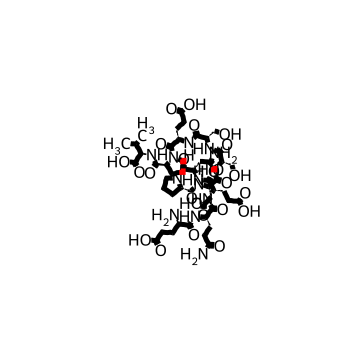 CC(C)[C@H](NC(=O)[C@@H]1CCCN1C(=O)[C@H](CCC(=O)O)NC(=O)[C@H](CO)NC(=O)[C@H](CO)NC(=O)[C@H](CC(=O)O)NC(=O)[C@@H]1CCCN1C(=O)[C@H](CC(N)=O)NC(=O)[C@H](CCC(=O)O)NC(=O)[C@H](CCC(N)=O)NC(=O)[C@@H](N)CCC(=O)O)C(=O)O